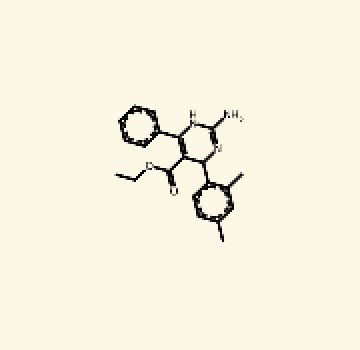 CCOC(=O)C1=C(c2ccccc2)NC(N)=NC1c1ccc(C)cc1C